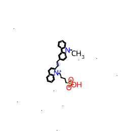 CCn1c2ccccc2c2cc(/C=C/c3ccc4ccccc4[n+]3CCCCS(=O)(=O)O)ccc21